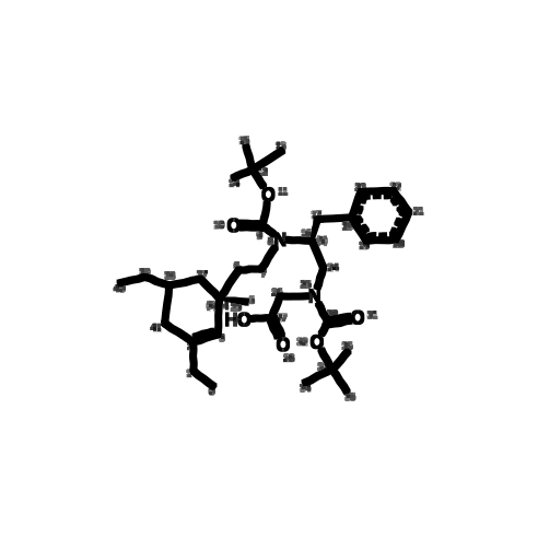 CCC1=C[C@@](C)(CCN(C(=O)OC(C)(C)C)[C@@H](Cc2ccccc2)CN(CC(=O)O)C(=O)OC(C)(C)C)CC(CC)C1